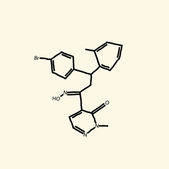 Cc1ccccc1C(CC(=NO)c1ccnn(C)c1=O)c1ccc(Br)cc1